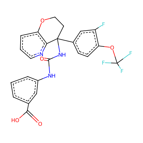 O=C(Nc1cccc(C(=O)O)c1)NC1(c2ccc(OC(F)(F)F)c(F)c2)CCOc2cccnc21